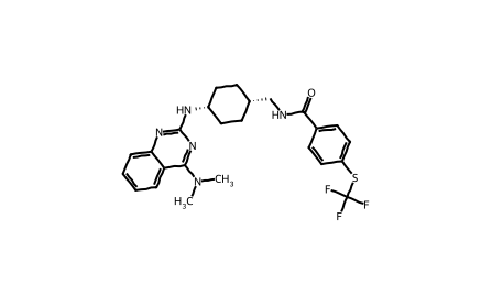 CN(C)c1nc(N[C@H]2CC[C@@H](CNC(=O)c3ccc(SC(F)(F)F)cc3)CC2)nc2ccccc12